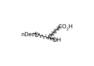 CCCCCCCCCCCOCCCCCCN(CCO)CCCCCCCC(=O)O